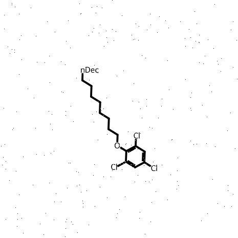 CCCCCCCCCCCCCCCCCCOc1c(Cl)cc(Cl)cc1Cl